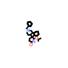 CC(C)OC1=NC(=O)CCC1(c1ccccc1)C1CCN(Cc2ccccc2)CC1